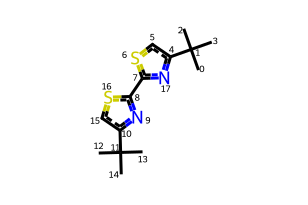 CC(C)(C)c1csc(-c2nc(C(C)(C)C)cs2)n1